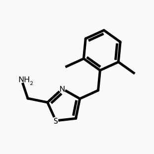 Cc1cccc(C)c1Cc1csc(CN)n1